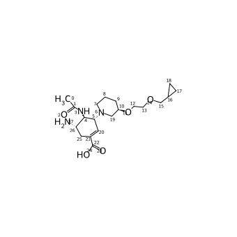 CC(=O)N[C@H]1[C@H](N2CCC[C@@H](OCCOCC3CC3)C2)C=C(C(=O)O)C[C@@H]1N